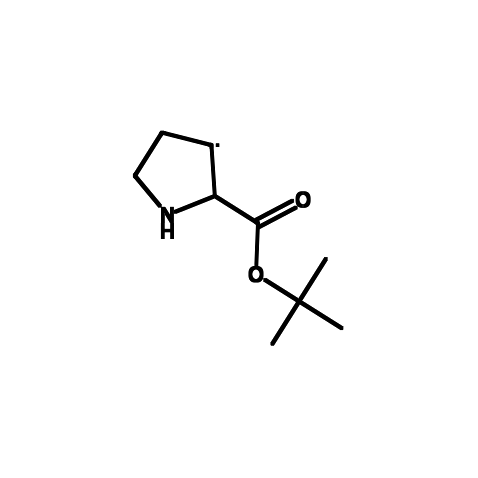 CC(C)(C)OC(=O)C1[CH]CCN1